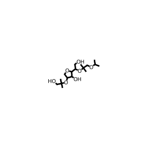 CC(C)OCC(C)(C)OC(CO)C1OCC(OC(C)(C)CO)C1O